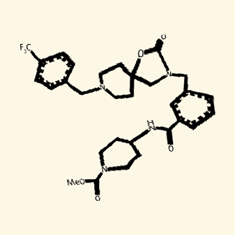 COC(=O)N1CCC(NC(=O)c2cccc(CN3CC4(CCN(Cc5ccc(C(F)(F)F)cc5)CC4)OC3=O)c2)CC1